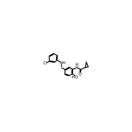 O=C(Nc1cc(SNc2cccc(Cl)c2)ccc1O)C1CC1